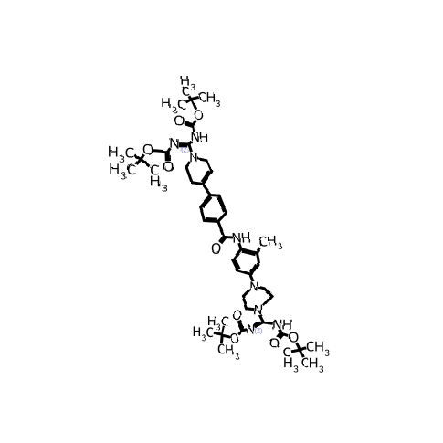 Cc1cc(N2CCN(/C(=N\C(=O)OC(C)(C)C)NC(=O)OC(C)(C)C)CC2)ccc1NC(=O)c1ccc(C2=CCN(/C(=N\C(=O)OC(C)(C)C)NC(=O)OC(C)(C)C)CC2)cc1